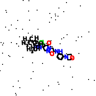 C[C@@H]1[C@H]2C[C@@H](C[C@H]1Nc1cnn(CC(=O)Nc3cccc(N4CCOCC4)c3)c(=O)c1Cl)C2(C)C